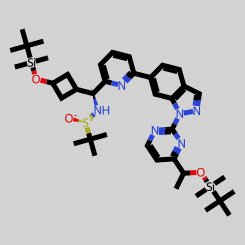 CC(O[Si](C)(C)C(C)(C)C)c1ccnc(-n2ncc3ccc(-c4cccc([C@@H](N[S@+]([O-])C(C)(C)C)C5CC(O[Si](C)(C)C(C)(C)C)C5)n4)cc32)n1